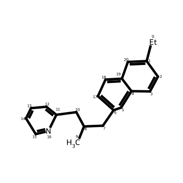 CCc1ccc2cc(CC(C)Cc3ccccn3)ccc2c1